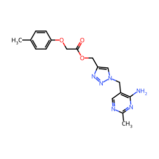 Cc1ccc(OCC(=O)OCc2cn(Cc3cnc(C)nc3N)nn2)cc1